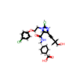 CC(C)(C#Cc1nc(Cl)n(CCOc2ccc(Cl)cc2)c1C(=O)NC[C@H]1CC[C@H](C(=O)O)CC1)CO